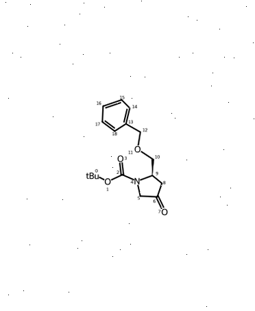 CC(C)(C)OC(=O)N1CC(=O)C[C@@H]1COCc1ccccc1